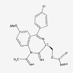 CNS(=O)OC[C@@H]1N=C(c2ccc(Cl)cc2)c2cc(OC)ccc2N(C(C)=N)C1=N